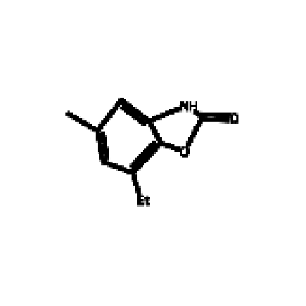 CCc1cc(C)cc2[nH]c(=O)oc12